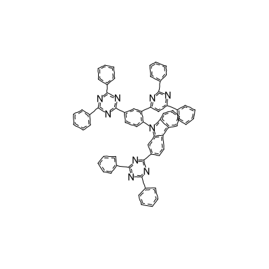 c1ccc(-c2cc(-c3cc(-c4nc(-c5ccccc5)nc(-c5ccccc5)n4)ccc3-n3c4ccccc4c4ccc(-c5nc(-c6ccccc6)nc(-c6ccccc6)n5)cc43)nc(-c3ccccc3)n2)cc1